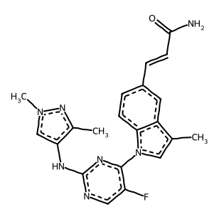 Cc1nn(C)cc1Nc1ncc(F)c(-n2cc(C)c3cc(C=CC(N)=O)ccc32)n1